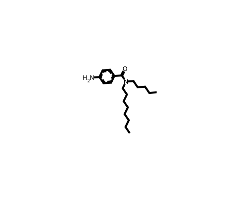 CCCCCCCCN(CCCCC)C(=O)c1ccc(N)cc1